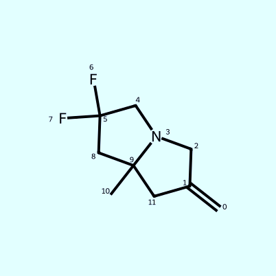 C=C1CN2CC(F)(F)CC2(C)C1